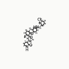 O=c1[nH]cccc1N1CCOC(c2c(F)ccc3c2Oc2ccc(NCc4cccc(Cl)n4)cc2C3)C1